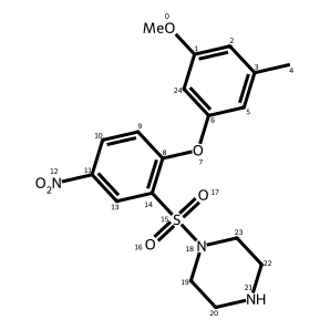 COc1cc(C)cc(Oc2ccc([N+](=O)[O-])cc2S(=O)(=O)N2CCNCC2)c1